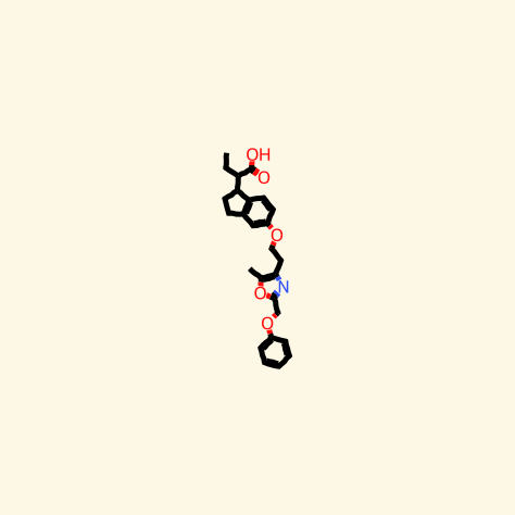 CCC(C(=O)O)C1CCc2cc(OCCc3nc(COc4ccccc4)oc3C)ccc21